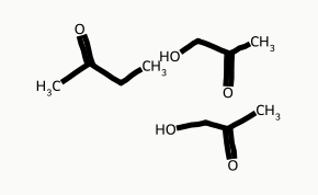 CC(=O)CO.CC(=O)CO.CCC(C)=O